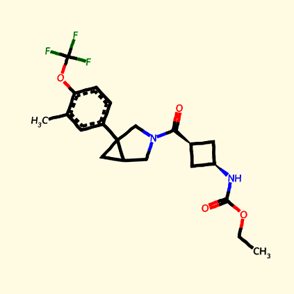 CCOC(=O)N[C@H]1C[C@@H](C(=O)N2CC3CC3(c3ccc(OC(F)(F)F)c(C)c3)C2)C1